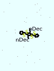 CCCCCCCCCCCCc1c2sc3c4ccccc4sc3c2c(CCCCCCCCCCCC)c2sc3c4ccccc4sc3c12